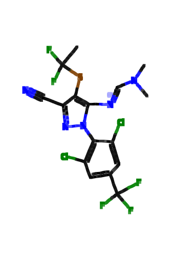 CN(C)/C=N/c1c(SC(C)(F)F)c(C#N)nn1-c1c(Cl)cc(C(F)(F)F)cc1Cl